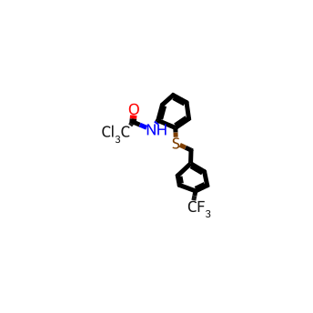 O=C(Nc1ccccc1SCc1ccc(C(F)(F)F)cc1)C(Cl)(Cl)Cl